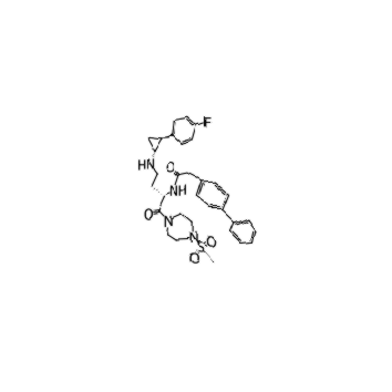 CS(=O)(=O)N1CCN(C(=O)[C@H](CCN[C@@H]2C[C@H]2c2ccc(F)cc2)NC(=O)Cc2ccc(-c3ccccc3)cc2)CC1